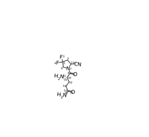 N#CC1CC(F)(F)CN1C(=O)[C@@H](N)CCC(N)=O